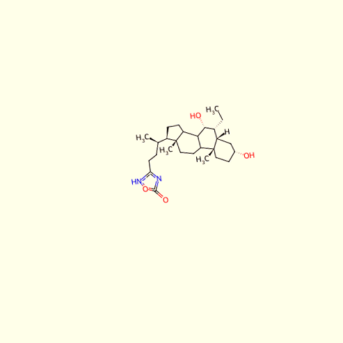 CC[C@H]1[C@@H](O)C2C3CC[C@H]([C@H](C)CCc4nc(=O)o[nH]4)[C@@]3(C)CCC2[C@@]2(C)CC[C@@H](O)C[C@@H]12